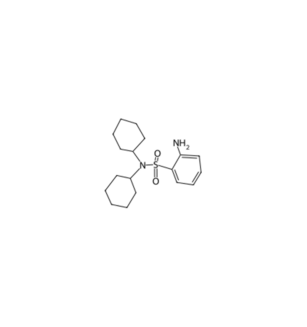 Nc1ccccc1S(=O)(=O)N(C1CCCCC1)C1CCCCC1